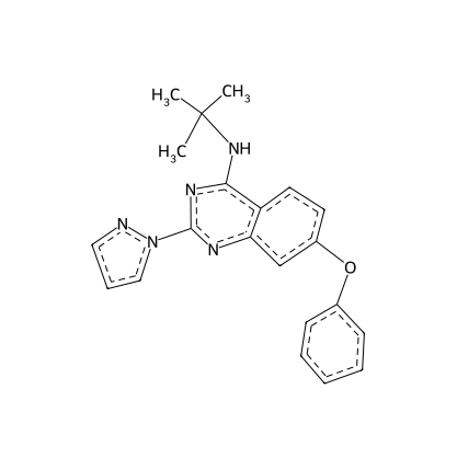 CC(C)(C)Nc1nc(-n2cccn2)nc2cc(Oc3ccccc3)ccc12